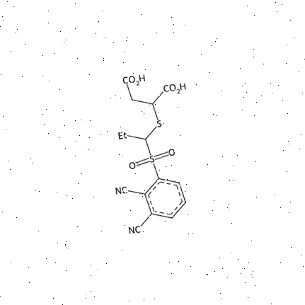 CCC(SC(CC(=O)O)C(=O)O)S(=O)(=O)c1cccc(C#N)c1C#N